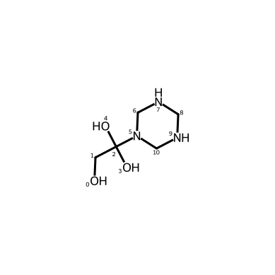 OCC(O)(O)N1CNCNC1